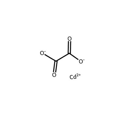 O=C([O-])C(=O)[O-].[Cd+2]